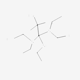 CCNC(N(CC)CC)(N(CC)CC)C(C)(C)[SiH3]